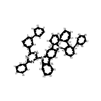 c1ccc(-c2cccc(-c3nc(-c4ccccc4)nc(-n4c5ccccc5c5cc6c(cc54)c4ccccc4n6-c4cccc(-c5ccccc5)c4-c4ccccc4)n3)c2)cc1